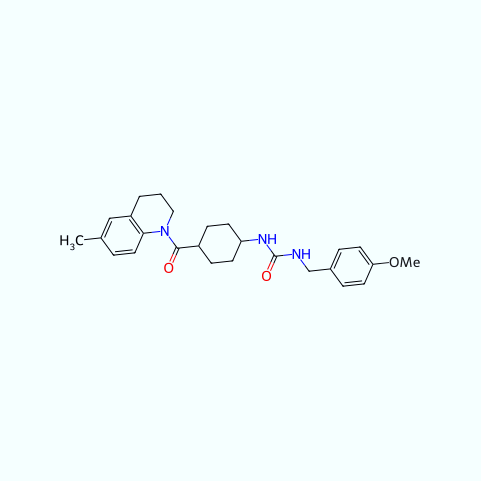 COc1ccc(CNC(=O)NC2CCC(C(=O)N3CCCc4cc(C)ccc43)CC2)cc1